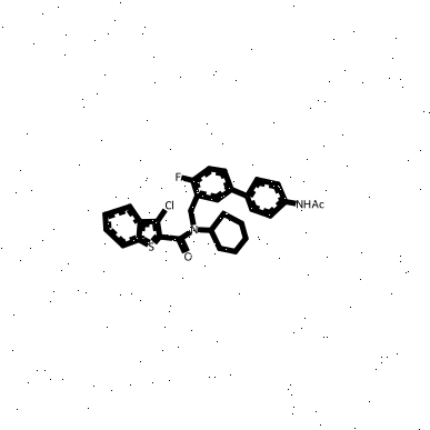 CC(=O)Nc1ccc(-c2ccc(F)c(CN(C(=O)c3sc4ccccc4c3Cl)C3CCCCC3)c2)cc1